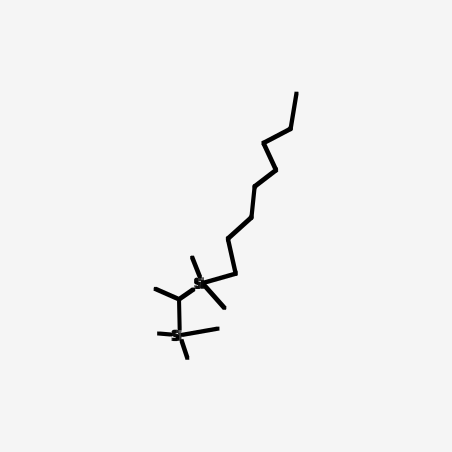 CCCCCCCC[Si](C)(C)C(C)[Si](C)(C)C